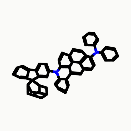 c1ccc(N(c2ccccc2)c2ccc3cc4c5c(ccc6ccc2c3c65)N(c2ccc3c(c2)C2(c5ccccc5-3)C3CC5CC(C3)CC2C5)c2ccccc2-4)cc1